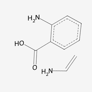 C=CN.Nc1ccccc1C(=O)O